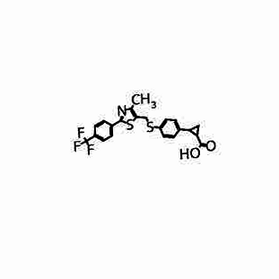 Cc1nc(-c2ccc(C(F)(F)F)cc2)sc1CSc1ccc(C2CC2C(=O)O)cc1